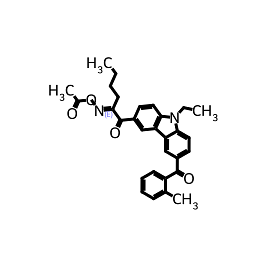 CCCC/C(=N\OC(C)=O)C(=O)c1ccc2c(c1)c1cc(C(=O)c3ccccc3C)ccc1n2CC